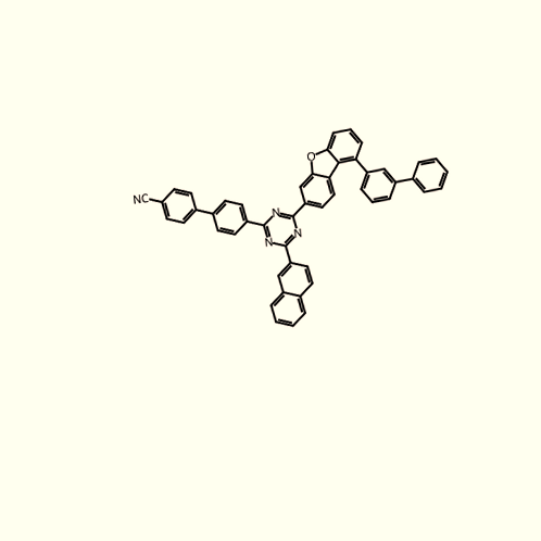 N#Cc1ccc(-c2ccc(-c3nc(-c4ccc5ccccc5c4)nc(-c4ccc5c(c4)oc4cccc(-c6cccc(-c7ccccc7)c6)c45)n3)cc2)cc1